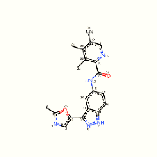 Cc1ncc(-c2n[nH]c3ccc(NC(=O)c4ncc(C#N)c(C)c4C)cc23)o1